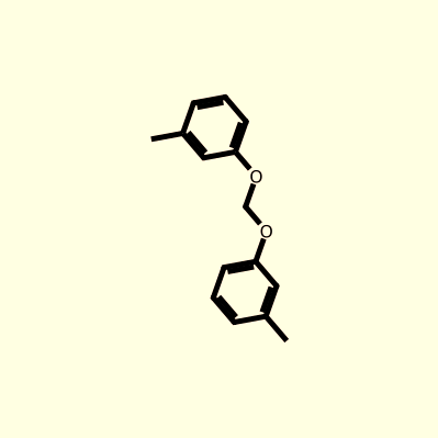 Cc1cccc(OCOc2cccc(C)c2)c1